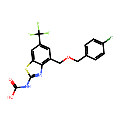 O=C(O)Nc1nc2c(COCc3ccc(Cl)cc3)cc(C(F)(F)F)cc2s1